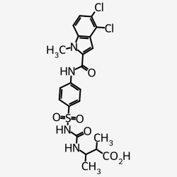 CC(NC(=O)NS(=O)(=O)c1ccc(NC(=O)c2cc3c(Cl)c(Cl)ccc3n2C)cc1)C(C)C(=O)O